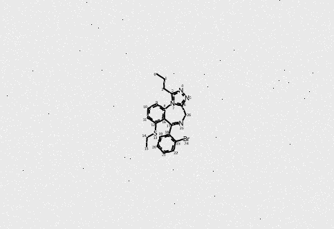 CCCc1nnc2n1-c1cccc(SCC)c1C(c1ccccc1Br)=NC2